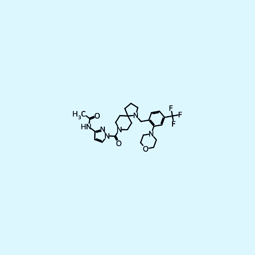 CC(=O)Nc1ccn(C(=O)N2CCC3(CCCN3Cc3ccc(C(F)(F)F)cc3N3CCOCC3)CC2)n1